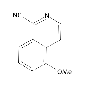 COc1cccc2c(C#N)nccc12